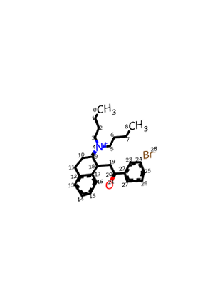 CCCC[N+](CCCC)=C1CCc2ccccc2C1CC(=O)c1ccccc1.[Br-]